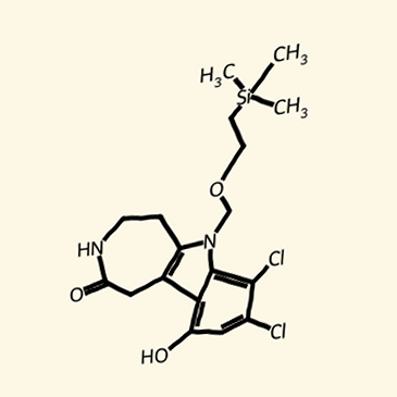 C[Si](C)(C)CCOCn1c2c(c3c(O)cc(Cl)c(Cl)c31)CC(=O)NCC2